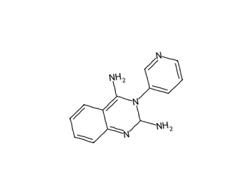 NC1=c2ccccc2=NC(N)N1c1cccnc1